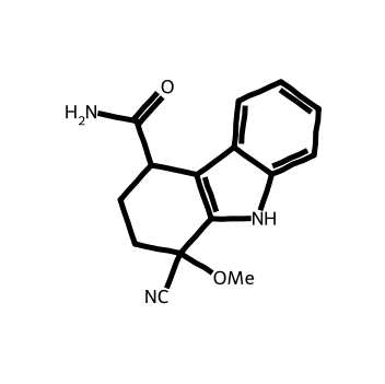 COC1(C#N)CCC(C(N)=O)c2c1[nH]c1ccccc21